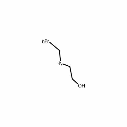 CCCC[N]CCO